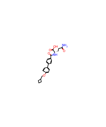 NC(=O)CC[C@H](NC(=O)c1ccc(-c2ccc(OCC3CCC3)cc2)cc1)C(=O)O